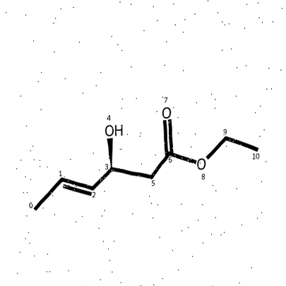 C/C=C/[C@@H](O)CC(=O)OCC